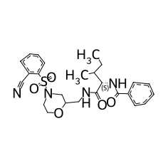 CCC(C)[C@H](NC(=O)c1ccccc1)C(=O)NCC1CN(S(=O)(=O)c2ccccc2C#N)CCO1